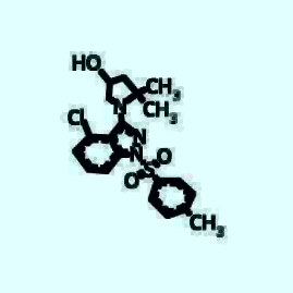 Cc1ccc(S(=O)(=O)n2nc(N3CC(O)CC3(C)C)c3c(Cl)cccc32)cc1